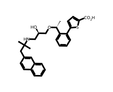 C[C@@H](OC[C@H](O)CNC(C)(C)Cc1ccc2ccccc2c1)c1ccccc1-c1ccc(C(=O)O)s1